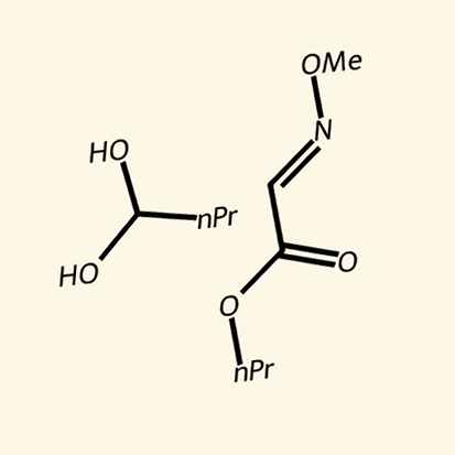 CCCC(O)O.CCCOC(=O)C=NOC